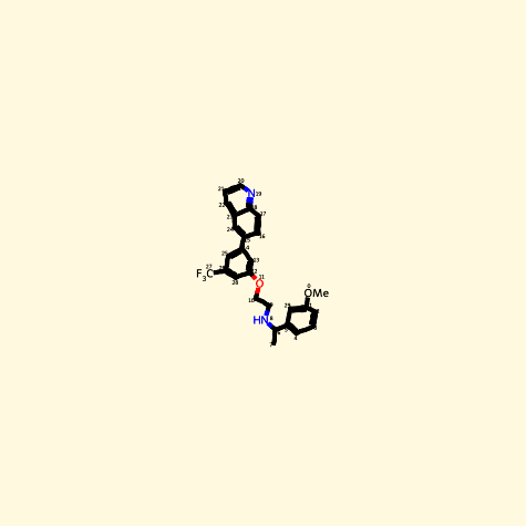 COc1cccc(C(C)NCCOc2cc(-c3ccc4ncccc4c3)cc(C(F)(F)F)c2)c1